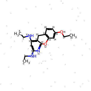 CCNc1cc(NCC)c2c(n1)Oc1cc(OCC)ccc1C2